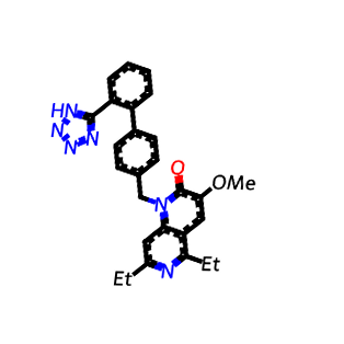 CCc1cc2c(cc(OC)c(=O)n2Cc2ccc(-c3ccccc3-c3nnn[nH]3)cc2)c(CC)n1